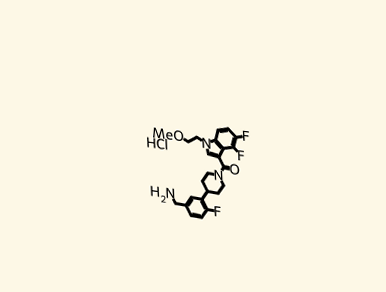 COCCn1cc(C(=O)N2CCC(c3cc(CN)ccc3F)CC2)c2c(F)c(F)ccc21.Cl